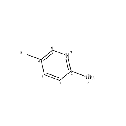 CC(C)(C)c1ccc(I)cn1